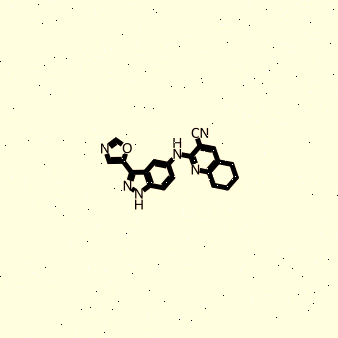 N#Cc1cc2c(nc1Nc1ccc3[nH]nc(-c4cnco4)c3c1)CCCC2